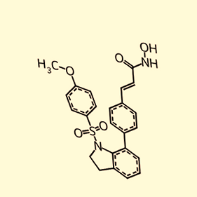 COc1ccc(S(=O)(=O)N2CCc3cccc(-c4ccc(C=CC(=O)NO)cc4)c32)cc1